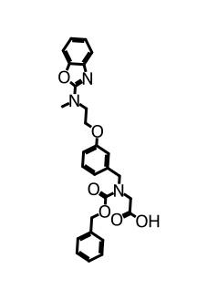 CN(CCOc1cccc(CN(CC(=O)O)C(=O)OCc2ccccc2)c1)c1nc2ccccc2o1